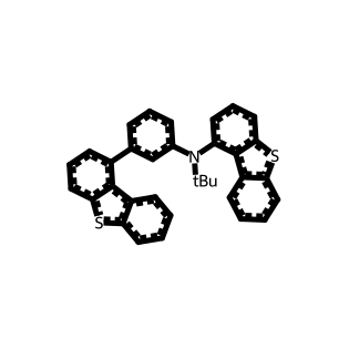 CC(C)(C)N(c1cccc(-c2cccc3sc4ccccc4c23)c1)c1cccc2sc3ccccc3c12